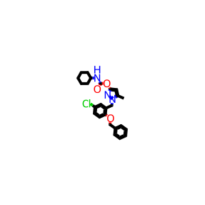 Cc1cc(OC(=O)NC2CCCCC2)nn1Cc1cc(Cl)ccc1OCc1ccccc1